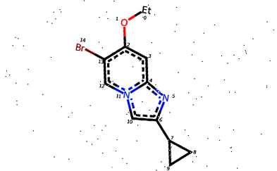 CCOc1cc2nc(C3CC3)cn2cc1Br